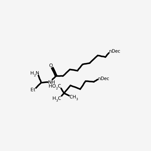 CCCCCCCCCCCCCCC(C)(C)C(=O)O.CCCCCCCCCCCCCCCCCC(=O)NC(N)CC